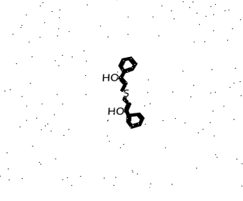 OC(=CCSCC=C(O)c1ccccc1)c1ccccc1